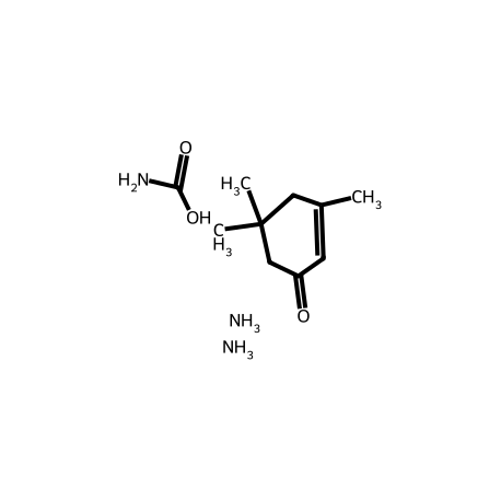 CC1=CC(=O)CC(C)(C)C1.N.N.NC(=O)O